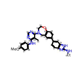 CCNc1nc2ccc(-c3ccc4c(c3)CN(c3ncnc(Nc5ccc(OC)cc5)c3C)CCO4)cc2[nH]1